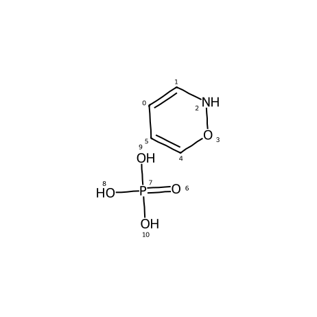 C1=CNOC=C1.O=P(O)(O)O